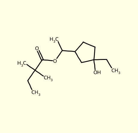 CCC1(O)CCC(C(C)OC(=O)C(C)(C)CC)C1